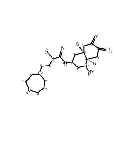 C=C1C[C@@H]2[C@@H](CC1=O)C[C@H](NC(=O)N(CC)CCN1CCCOCC1)CN2CCC